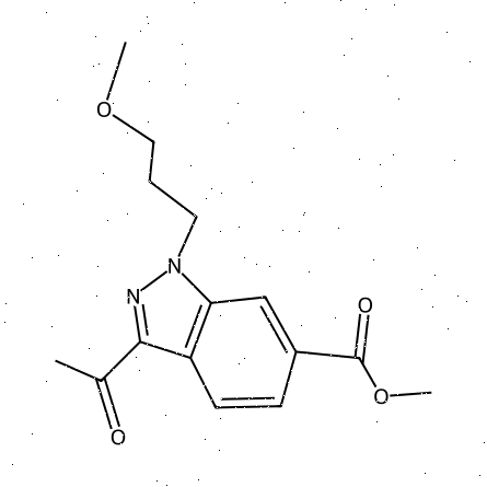 COCCCn1nc(C(C)=O)c2ccc(C(=O)OC)cc21